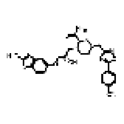 Cc1nc2cc(OC[C@@H](O)CN3CCN(Cc4noc(-c5ccc(C(F)(F)F)cc5)n4)CC3C(N)=O)ccc2s1